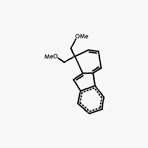 COCC1(COC)C=CC=C2C1=Cc1ccccc12